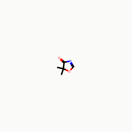 CC1(C)O[C]=NC1=O